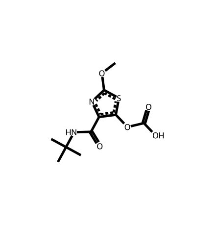 COc1nc(C(=O)NC(C)(C)C)c(OC(=O)O)s1